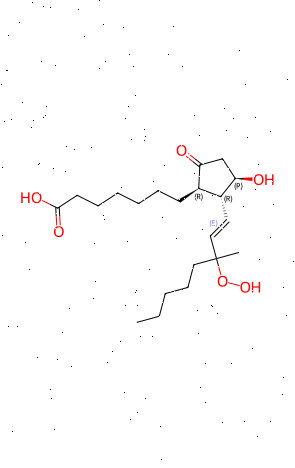 CCCCCC(C)(/C=C/[C@H]1[C@H](O)CC(=O)[C@@H]1CCCCCCC(=O)O)OO